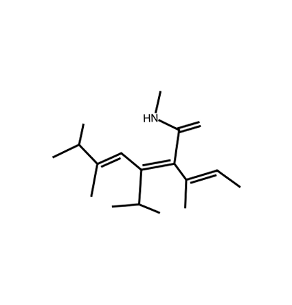 C=C(NC)C(=C(\C=C(/C)C(C)C)C(C)C)/C(C)=C/C